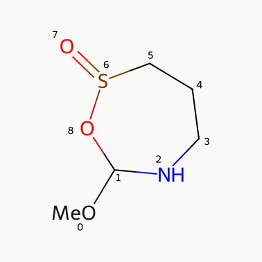 COC1NCCCS(=O)O1